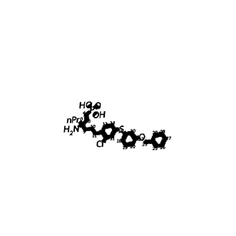 CCCC(N)(/C=C/P(=O)(O)O)CCCc1ccc(Sc2cccc(OCc3ccccc3)c2)cc1Cl